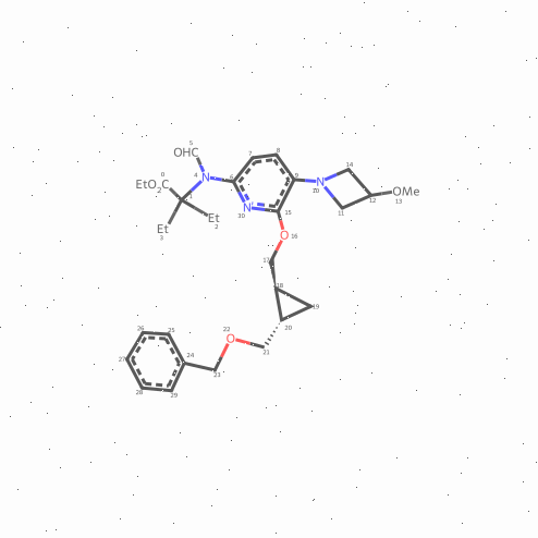 CCOC(=O)C(CC)(CC)N(C=O)c1ccc(N2CC(OC)C2)c(OC[C@H]2C[C@@H]2COCc2ccccc2)n1